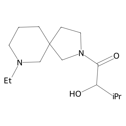 CCN1CCCC2(CCN(C(=O)C(O)C(C)C)C2)C1